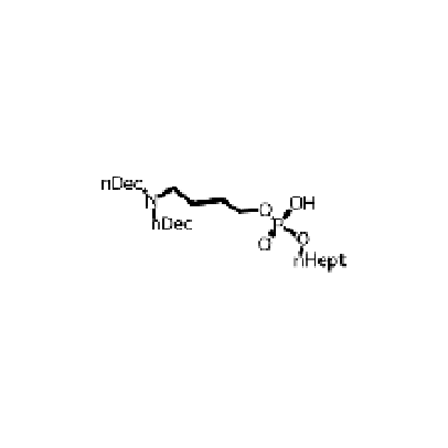 CCCCCCCCCCN(CCCCCCCCCC)CCCCOP(=O)(O)OCCCCCCC